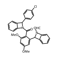 COc1cc(OC)c(C(=O)N2c3ccccc3C2c2ccc(Cl)cc2)c(C2c3ccccc3N2[C]=O)c1